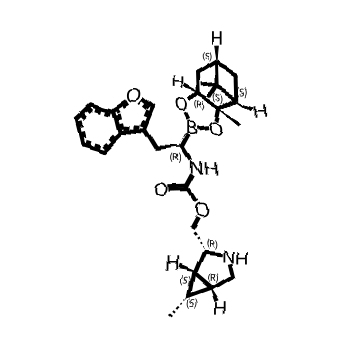 C[C@H]1[C@H]2CN[C@@H](COC(=O)N[C@@H](Cc3coc4ccccc34)B3O[C@@H]4C[C@@H]5C[C@@H](C5(C)C)[C@]4(C)O3)[C@@H]12